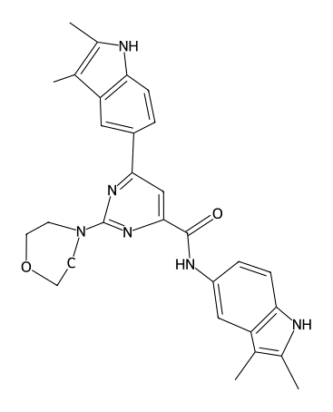 Cc1[nH]c2ccc(NC(=O)c3cc(-c4ccc5[nH]c(C)c(C)c5c4)nc(N4CCOCC4)n3)cc2c1C